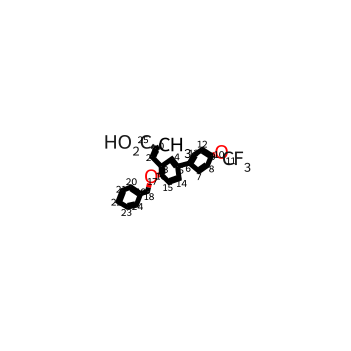 CC(=Cc1cc(-c2ccc(OC(F)(F)F)cc2)ccc1OCc1ccccc1)C(=O)O